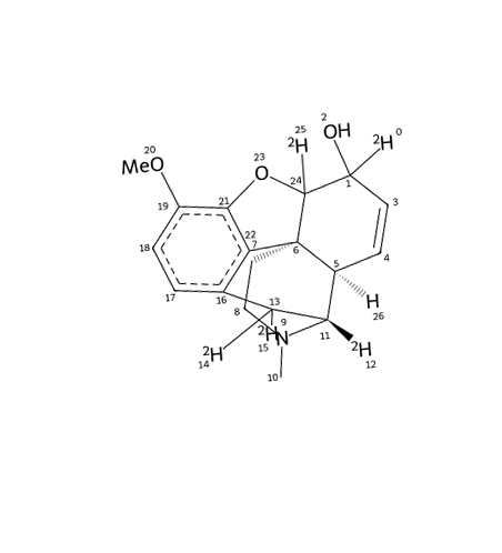 [2H]C1(O)C=C[C@@H]2[C@@]34CCN(C)[C@]2([2H])C([2H])([2H])c2ccc(OC)c(c23)OC14[2H]